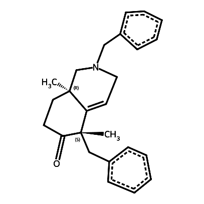 C[C@@]12CCC(=O)[C@@](C)(Cc3ccccc3)C1=CCN(Cc1ccccc1)C2